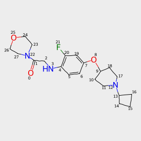 O=C(CNc1ccc(OC2CCN(C3CCC3)CC2)cc1F)N1CCOCC1